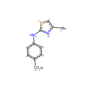 CCCCc1csc(Nc2ccc(C(=O)O)cc2)n1